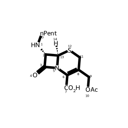 CCCCCN[C@H]1C(=O)N2C(C(=O)O)=C(COC(C)=O)CS[C@H]12